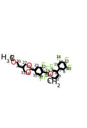 C=C(/C=C\C(=C\F)c1cc(F)c(F)c(F)c1)OC(F)(F)c1c(F)cc(C2OCC(CCOC)CO2)cc1F